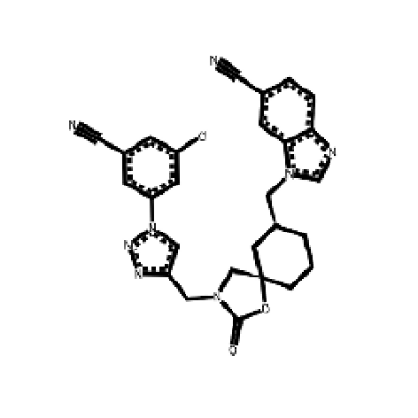 N#Cc1cc(Cl)cc(-n2cc(CN3C[C@@]4(CCC[C@H](Cn5cnc6ccc(C#N)cc65)C4)OC3=O)nn2)c1